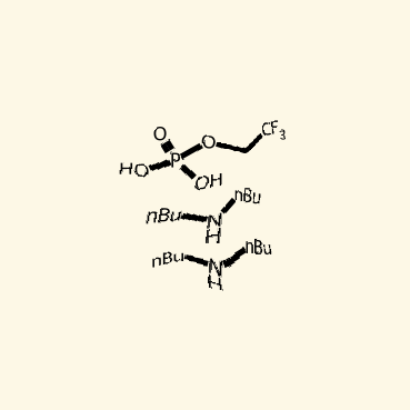 CCCCNCCCC.CCCCNCCCC.O=P(O)(O)OCC(F)(F)F